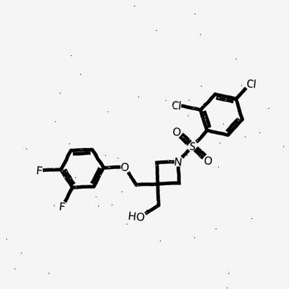 O=S(=O)(c1ccc(Cl)cc1Cl)N1CC(CO)(COc2ccc(F)c(F)c2)C1